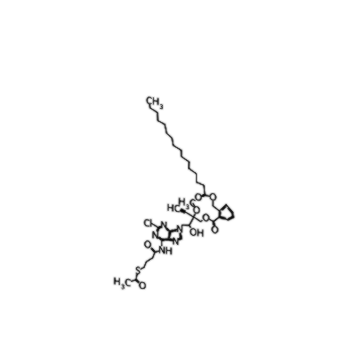 C#CC(COC(=O)c1ccccc1COC(=O)CCCCCCCCCCCCCCC)(OC)[C@@H](O)Cn1cnc2c(NC(=O)CCCSC(C)=O)nc(Cl)nc21